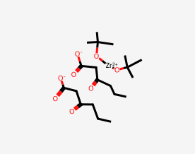 CC(C)(C)[O][Zr+2][O]C(C)(C)C.CCCC(=O)CC(=O)[O-].CCCC(=O)CC(=O)[O-]